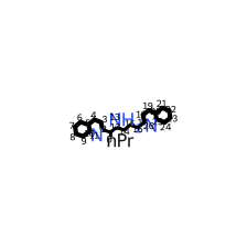 [CH2]CCC(c1ccc2ccccc2n1)C(N)CCCc1ccc2ccccc2n1